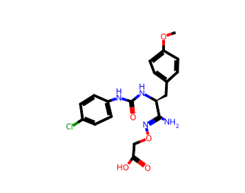 COc1ccc(C[C@H](NC(=O)Nc2ccc(Cl)cc2)/C(N)=N/OCC(=O)O)cc1